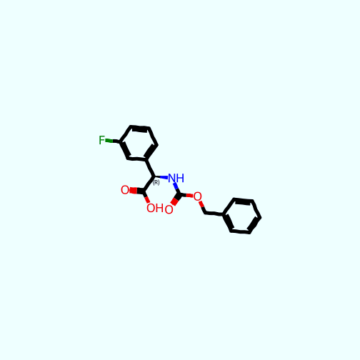 O=C(N[C@@H](C(=O)O)c1cccc(F)c1)OCc1ccccc1